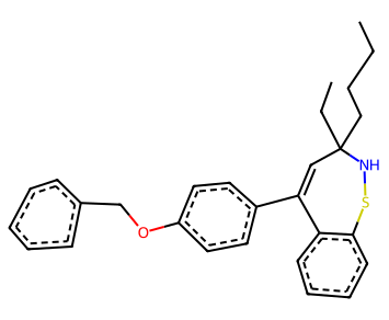 CCCCC1(CC)C=C(c2ccc(OCc3ccccc3)cc2)c2ccccc2SN1